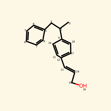 CC(Cc1ccccc1)c1ccc(/C=C/CO)cc1